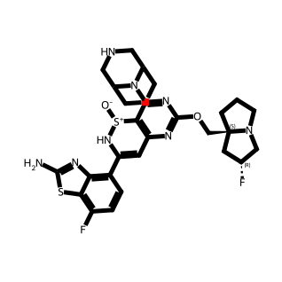 Nc1nc2c(C3=Cc4nc(OC[C@@]56CCCN5C[C@H](F)C6)nc(N5C6CNCC5COC6)c4[S+]([O-])N3)ccc(F)c2s1